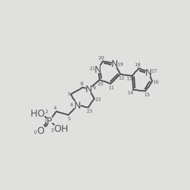 O=P(O)(O)CCN1CCN(c2cc(-c3cccnc3)ncn2)CC1